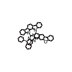 c1ccc(-c2cccc(-c3cccc(-n4c5ccccc5c5ccc6c7ccccc7n(-c7nc(-c8ccccc8)nc(-c8ccc9c(c8)oc8ccccc89)n7)c6c54)c3)c2)cc1